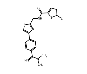 CN(C)C(=N)c1ccc(-c2csc(CNC(=O)C3=CCC(Cl)S3)n2)cc1